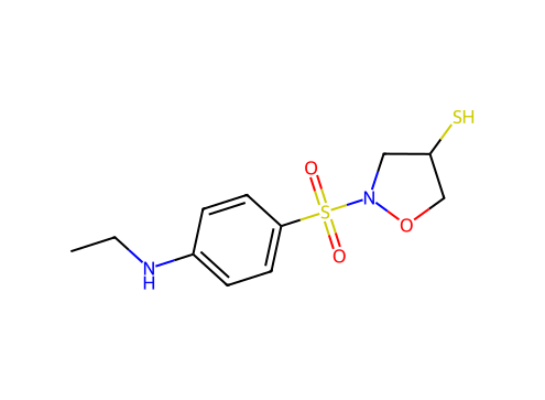 CCNc1ccc(S(=O)(=O)N2CC(S)CO2)cc1